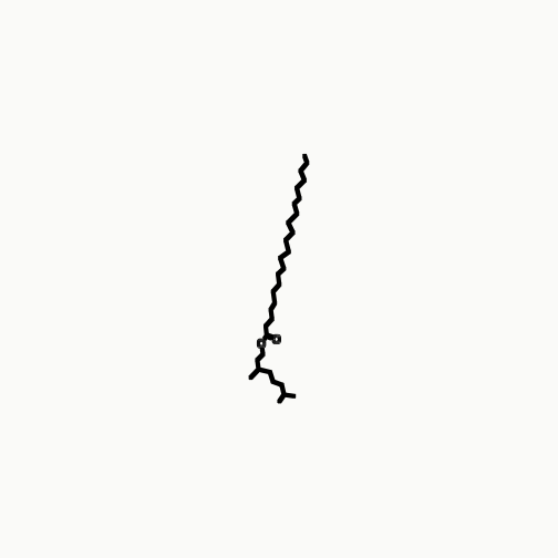 CCCCCCCCCCCCCCCCCCCCCC(=O)OCCC(C)CCCC(C)C